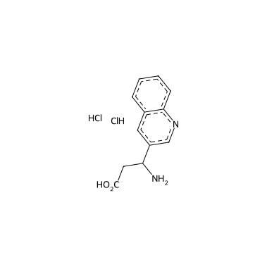 Cl.Cl.NC(CC(=O)O)c1cnc2ccccc2c1